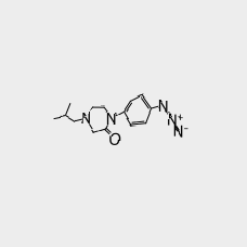 C[C](C)CN1CCN(c2ccc(N=[N+]=[N-])cc2)C(=O)C1